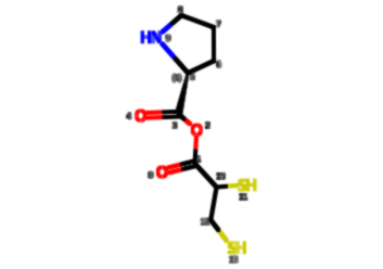 O=C(OC(=O)[C@@H]1CCCN1)C(S)CS